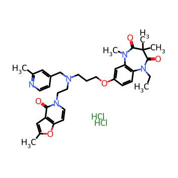 CCN1C(=O)C(C)(C)C(=O)N(C)c2cc(OCCCN(CCn3ccc4oc(C)cc4c3=O)Cc3ccnc(C)c3)ccc21.Cl.Cl